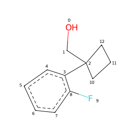 OCC1(c2ccccc2F)CCC1